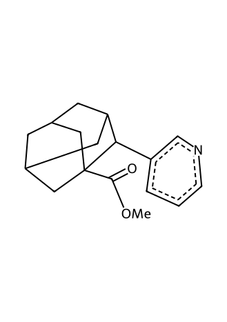 COC(=O)C12CC3CC(CC(C3)C1c1cccnc1)C2